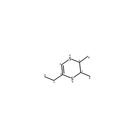 CCC1=CSC(C)C(C)S1